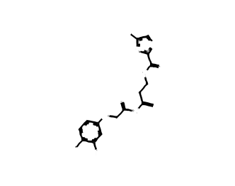 C=C(CCNC(=O)c1nc(CC)cs1)NC(=O)COc1ccc(Cl)c(F)c1